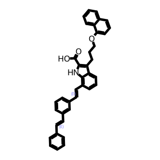 O=C(O)c1[nH]c2c(/C=C/c3cccc(/C=C/c4ccccc4)c3)cccc2c1CCCOc1cccc2ccccc12